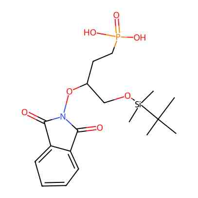 CC(C)(C)[Si](C)(C)OCC(CCP(=O)(O)O)ON1C(=O)c2ccccc2C1=O